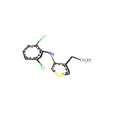 CCOC(=O)Cc1cscc1Nc1c(Cl)cccc1Cl